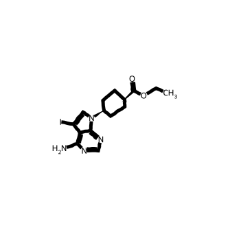 CCOC(=O)[C@H]1CC[C@@H](n2cc(I)c3c(N)ncnc32)CC1